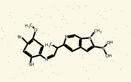 COc1cc(/N=C\C(C)c2cc3cc(B(O)O)n(C)c3cn2)c(S)cc1Br